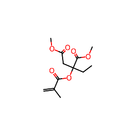 C=C(C)C(=O)OC(CC)(CC(=O)OC)C(=O)OC